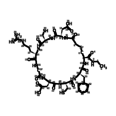 CCNC(=O)[C@@H]1CSCC(=O)N[C@@H](CC(=O)O)C(=O)N[C@@H](CS)C(=O)N[C@@H](CCCNC(=N)N)C(=O)NCC(=O)N[C@@H](CC(=O)O)C(=O)N[C@@H](CS)C(=O)N[C@@H](Cc2ccccc2)C(=O)N1